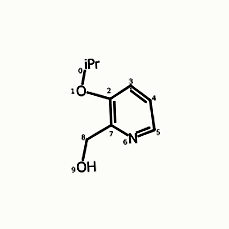 CC(C)Oc1[c]ccnc1CO